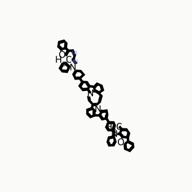 CC(/C=C\c1coc2ccccc12)=C\N(C1=CC=C(c2ccc3c(c2)c2cccc4ccc5c(ccn3c42)c2cccc3c4cc(-c6ccc(N(c7ccccc7)c7c(C)ccc8c7oc7ccccc78)cc6)ccc4n5c23)CC1)c1ccccc1